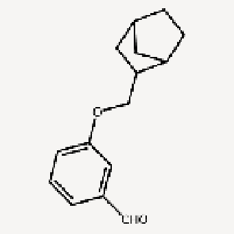 O=Cc1cccc(OCC2CC3CCC2C3)c1